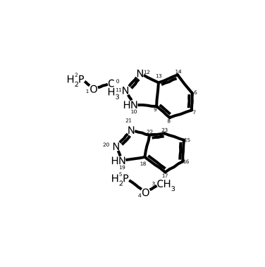 COP.COP.c1ccc2[nH]nnc2c1.c1ccc2[nH]nnc2c1